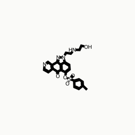 Cc1ccc(S(=O)(=O)Oc2ccc3c4c(nn3CCNCCO)-c3cnccc3C(=O)c24)cc1